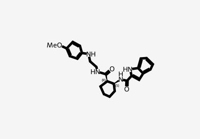 COc1ccc(NCCNC(=O)[C@@H]2CCCC[C@@H]2NC(=O)c2cc3ccccc3[nH]2)cc1